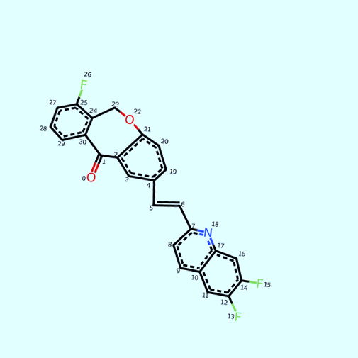 O=C1c2cc(/C=C/c3ccc4cc(F)c(F)cc4n3)ccc2OCc2c(F)cccc21